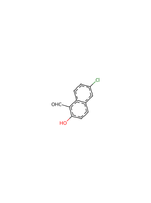 O=Cc1c(O)ccc2cc(Cl)ccc12